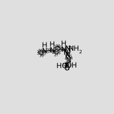 Nc1cc(N2CCN(CCP(=O)(O)O)CC2)nc(NCc2cccc3c2CCCC3NCCCNC2CCCCC2)n1